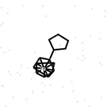 C1CCC([C]23[CH]4[CH]5[CH]6[CH]2[Fe]56432789[CH]3[CH]2[CH]7[CH]8[CH]39)C1